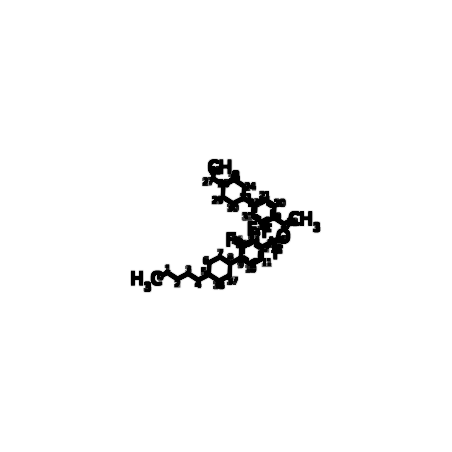 CCCCCC1CCC(c2ccc(C(F)(F)OC(C)c3ccc(C4CCC(CC)CC4)cc3)c(F)c2F)CC1